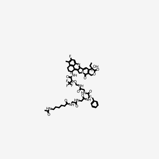 CC[C@@]1(O)C(=O)OCc2c1cc1n(c2=O)Cc2c-1nc1cc(F)c(C)c3c1c2[C@@H](NC(=O)[C@@H](OCNC(=O)CNC(=O)[C@H](Cc1ccccc1)NC(=O)CNC(=O)CNC(=O)CCCCCNC(C)=O)C(F)(F)F)CC3